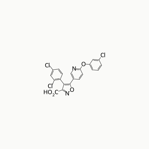 O=C(O)c1noc(-c2ccc(Oc3cccc(Cl)c3)nc2)c1-c1ccc(Cl)cc1Cl